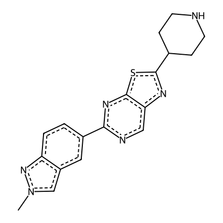 Cn1cc2cc(-c3ncc4nc(C5CCNCC5)sc4n3)ccc2n1